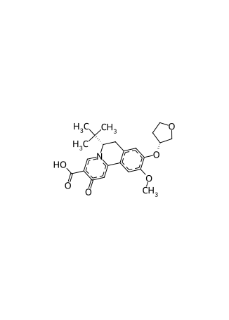 COc1cc2c(cc1O[C@@H]1CCOC1)C[C@@H](C(C)(C)C)n1cc(C(=O)O)c(=O)cc1-2